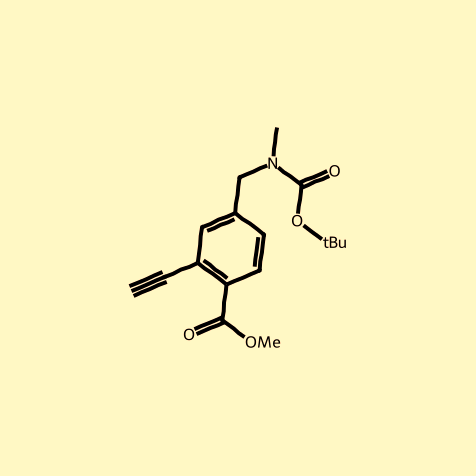 C#Cc1cc(CN(C)C(=O)OC(C)(C)C)ccc1C(=O)OC